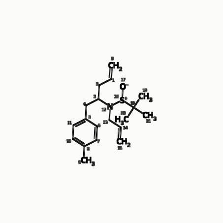 C=CCC(Cc1ccc(C)cc1)N(CC=C)[S+]([O-])C(C)(C)C